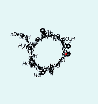 CCCCCCCCCCCC(=O)NCCCC[C@H](NC(=O)[C@@H]1CSCC(=O)N[C@@H](Cc2c[nH]c3ccccc23)C(=O)N[C@@H]([C@@H](C)O)C(=O)N(C)CC(=O)N[C@@H](CC(=O)O)C(=O)N(C)[C@@H](Cc2ccccc2)C(=O)N(C)[C@@H](Cc2ccccc2)C(=O)N[C@@H](C)C(=O)N(C)[C@@H](C)C(=O)N[C@@H](Cc2cnc[nH]2)C(=O)N[C@@H](Cc2ccc(O)cc2)C(=O)N[C@@H](CC)C(=O)NC(C(C)C)C(=O)N2C[C@H](O)C[C@H]2C(=O)N[C@@H](C)C(=O)N1)C(N)=O